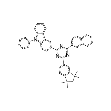 CC1(C)CC(C)(C)c2cc(-c3nc(-c4ccc5ccccc5c4)nc(-c4ccc5c(c4)c4ccccc4n5-c4ccccc4)n3)ccc21